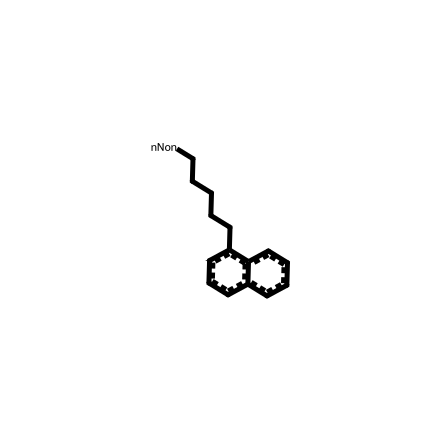 CCCCCCCCCCCCCCc1[c]ccc2ccccc12